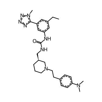 CCc1cc(NC(=O)NC[C@@H]2CCCN(CCc3ccc(N(C)C)cc3)C2)cc(-c2nnnn2C)c1